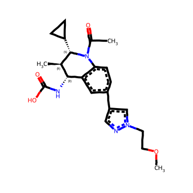 COCCn1cc(-c2ccc3c(c2)[C@H](NC(=O)O)[C@@H](C)[C@H](C2CC2)N3C(C)=O)cn1